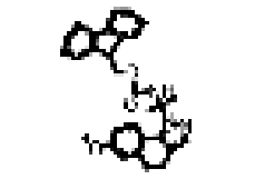 COc1ccc2c(c1)CCc1cnn(C(C)(C)NC(=O)OCC3c4ccccc4-c4ccccc43)c1-2